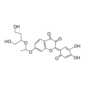 CC(Oc1ccc2c(c1)O/C(=C1/C=C(O)C(O)=CC1=O)C(=O)C2=O)OC(CO)CCO